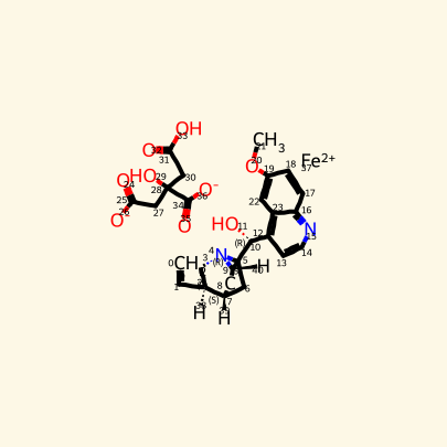 C=C[C@H]1C[N@]2CC[C@H]1C[C@H]2[C@H](O)c1ccnc2ccc(OC)cc12.O=C([O-])CC(O)(CC(=O)O)C(=O)[O-].[Fe+2]